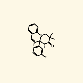 CC1(C)CN2c3ccccc3C=C(F)C2(c2cccc(F)c2)NC1=O